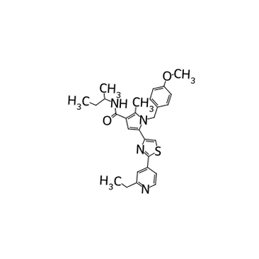 CCc1cc(-c2nc(-c3cc(C(=O)NC(C)CC)c(C)n3Cc3ccc(OC)cc3)cs2)ccn1